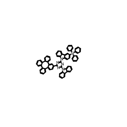 c1ccc([Si](c2ccccc2)(c2ccccc2)c2ccc3c(c2)c2ccccc2n3-c2nc(-c3ccc4c(c3)-c3ccccc3-c3ccccc3-c3ccccc3-4)nc(-n3c4ccccc4c4ccccc43)n2)cc1